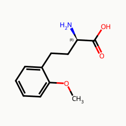 COc1ccccc1CC[C@@H](N)C(=O)O